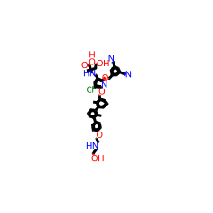 Cc1c(COc2nc(OCc3cc(C#N)cc(C#N)c3)c(CNC(C)(CCO)C(=O)O)cc2Cl)cccc1-c1cccc(-c2ccc(OCCNCCO)cc2)c1C